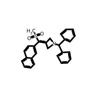 CS(=O)(=O)C(=C1CN(C(c2ccccc2)c2ccccc2)C1)c1ccc2ccccc2c1